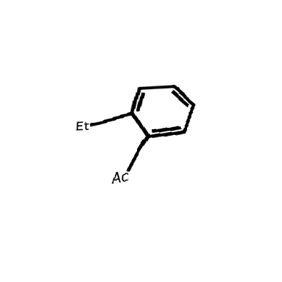 [CH2]Cc1ccccc1C(C)=O